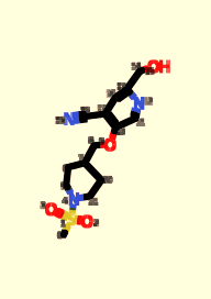 CS(=O)(=O)N1CCC(COc2cnc(CO)cc2C#N)CC1